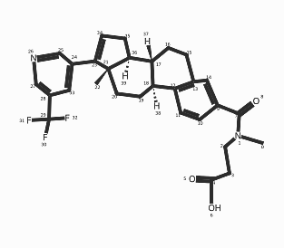 CN(CCC(=O)O)C(=O)c1ccc2c(c1)CC[C@@H]1[C@@H]2CC[C@]2(C)C(c3cncc(C(F)(F)F)c3)=CC[C@@H]12